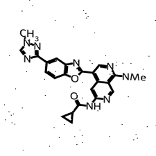 CNc1ncc(-c2nc3cc(-c4ncn(C)n4)ccc3o2)c2cc(NC(=O)C3CC3)ncc12